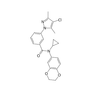 Cc1nn(-c2cccc(C(=O)N(c3ccc4c(c3)OCCO4)C3CC3)c2)c(C)c1Cl